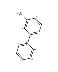 FC(F)(F)c1c[c]cc(-c2ccccc2)c1